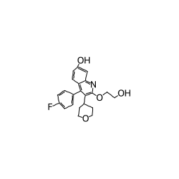 OCCOc1nc2cc(O)ccc2c(-c2ccc(F)cc2)c1C1CCOCC1